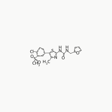 Cc1nc(NC(=O)NCc2ccco2)sc1-c1ccc(Cl)c(S(C)(=O)=O)c1